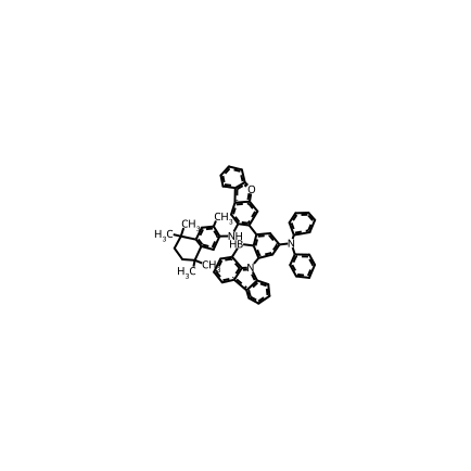 Cc1cc2c(cc1Nc1cc3c(cc1-c1cc(N(c4ccccc4)c4ccccc4)cc4c1Bc1cccc5c6ccccc6n-4c15)oc1ccccc13)C(C)(C)CCC2(C)C